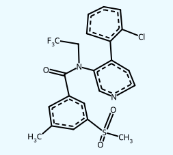 Cc1cc(C(=O)N(CC(F)(F)F)c2cnccc2-c2ccccc2Cl)cc(S(C)(=O)=O)c1